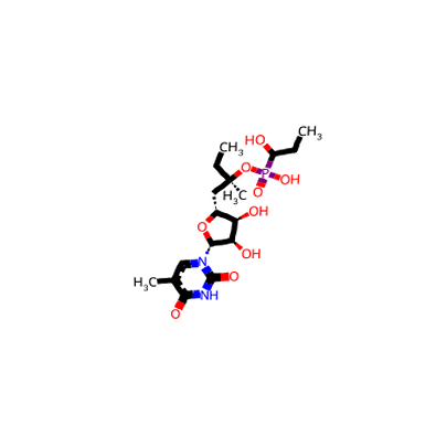 CCC(O)P(=O)(O)O[C@](C)(CC)C[C@H]1O[C@@H](n2cc(C)c(=O)[nH]c2=O)[C@H](O)[C@@H]1O